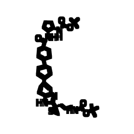 CC(C)(C)OC(=O)NCCC[C@]1(c2nc3cc(-c4ccc(-c5ccc(C(=O)N[C@H]6CCC[C@@H]6NC(=O)OC(C)(C)C)cc5)cc4)ccc3[nH]2)CS1